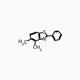 Cc1ccc2sc(-c3ccccc3)nc2c1C